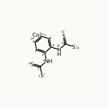 S=C([S-])Nc1ccccc1NC(=S)[S-].[Co+2]